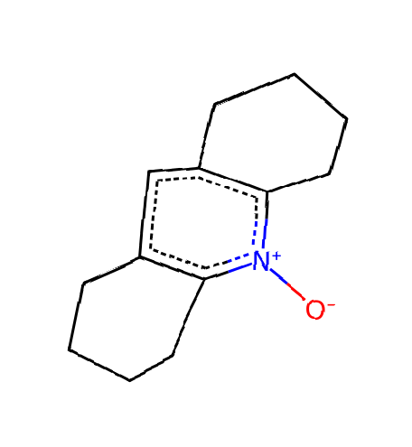 [O-][n+]1c2c(cc3c1CCCC3)CCCC2